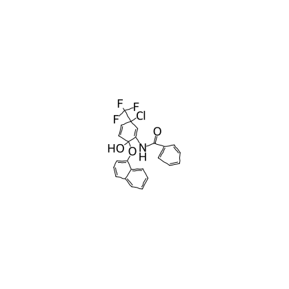 O=C(NC1=CC(Cl)(C(F)(F)F)C=CC1(O)Oc1cccc2ccccc12)c1ccccc1